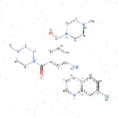 CN1CCN(C(=O)c2cc(Nc3ccnc4cc(Cl)ccc34)cc(C(=O)N3CCN(C)CC3)c2)CC1